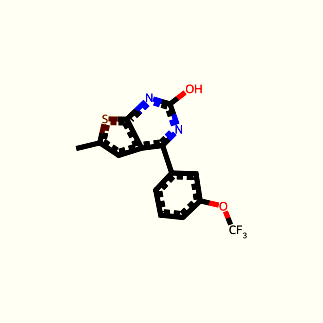 Cc1cc2c(-c3cccc(OC(F)(F)F)c3)nc(O)nc2s1